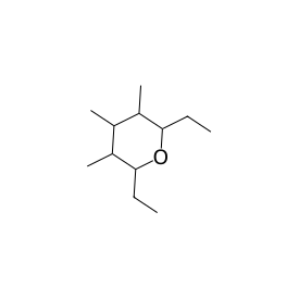 CCC1OC(CC)C(C)C(C)C1C